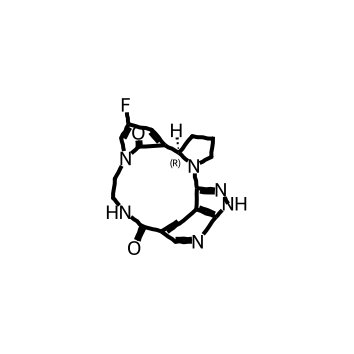 O=C1NCCn2cc(F)cc(c2=O)[C@H]2CCCN2c2n[nH]c3ncc1cc23